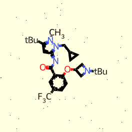 Cn1c(C(C)(C)C)cc(=NC(=O)c2cc(C(F)(F)F)ccc2OC2CN(C(C)(C)C)C2)n1CC1CC1